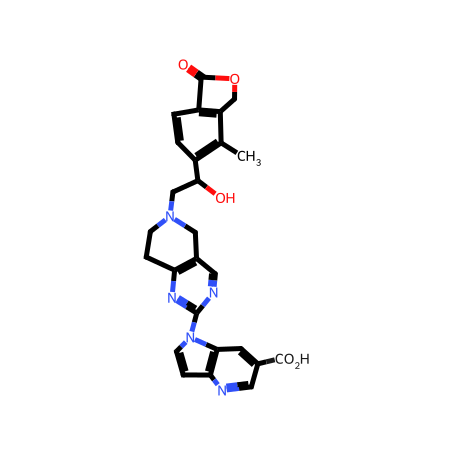 Cc1c(C(O)CN2CCc3nc(-n4ccc5ncc(C(=O)O)cc54)ncc3C2)ccc2c1COC2=O